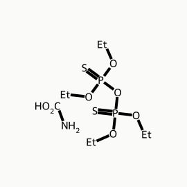 CCOP(=S)(OCC)OP(=S)(OCC)OCC.NC(=O)O